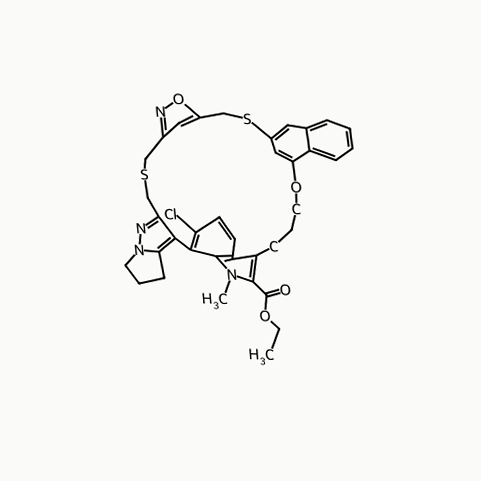 CCOC(=O)c1c2c3ccc(Cl)c(c3n1C)-c1c(nn3c1CCC3)CSCc1cc(on1)CSc1cc(c3ccccc3c1)OCCC2